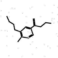 C=C(CCC)c1cnc(C)c(CCCC)c1